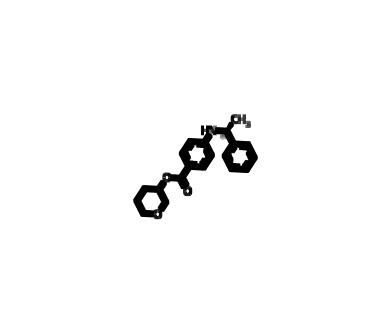 C[C@H](Nc1ccc(C(=O)OC2CCCOC2)cc1)c1ccccc1